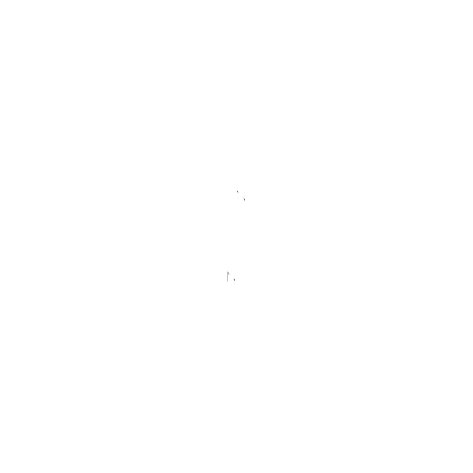 C1=CC(C2C=CC=N2)N=C1